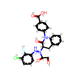 O=CC(=O)N(Nc1cccc(Cl)c1F)C(Cc1ccccc1)C(=O)Nc1ccc(C(=O)O)cc1